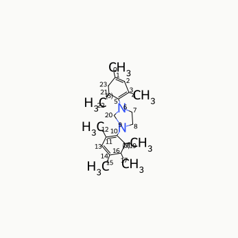 CC1=CC(C)=C(N2CCN(C3=C(C)C=C(C)C(C)[C@@H]3C)C2)[C@@H](C)C1